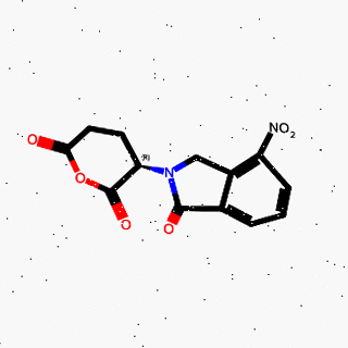 O=C1CC[C@@H](N2Cc3c(cccc3[N+](=O)[O-])C2=O)C(=O)O1